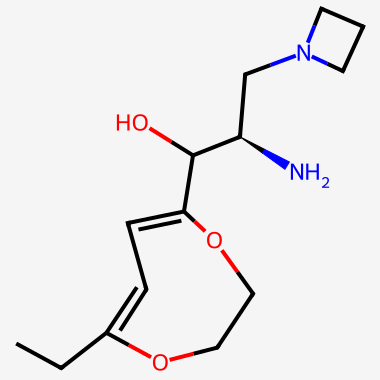 CC/C1=C\C=C(\C(O)[C@H](N)CN2CCC2)OCCO1